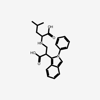 CC(C)CC(NCC(C(=O)O)c1c2ccccc2cn1-c1ccccc1)C(=O)O